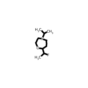 CC(F)C1CCN(C(C)C)CCO1